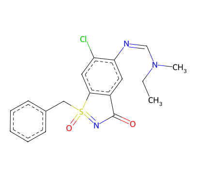 CCN(C)/C=N\c1cc2c(cc1Cl)S(=O)(Cc1ccccc1)=NC2=O